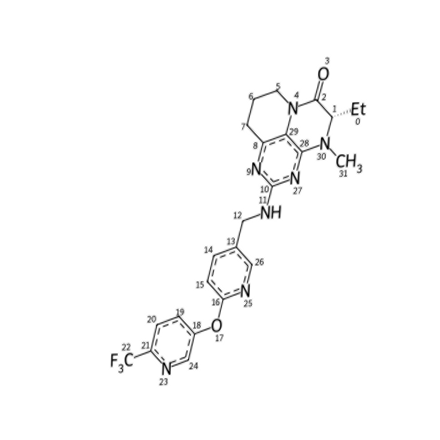 CC[C@H]1C(=O)N2CCCc3nc(NCc4ccc(Oc5ccc(C(F)(F)F)nc5)nc4)nc(c32)N1C